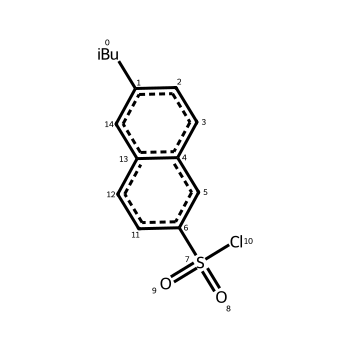 CCC(C)c1ccc2cc(S(=O)(=O)Cl)ccc2c1